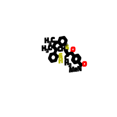 C=C(CS[C@@H]1CCCC([C@H](C)[C@H](C)[C@H](C)C2CCCCC2S)C1)C(=O)c1ccc(C(=O)NC)cc1